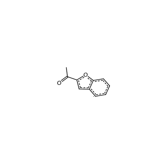 CC(=O)c1cc2[c]cccc2o1